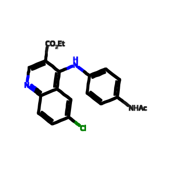 CCOC(=O)c1cnc2ccc(Cl)cc2c1Nc1ccc(NC(C)=O)cc1